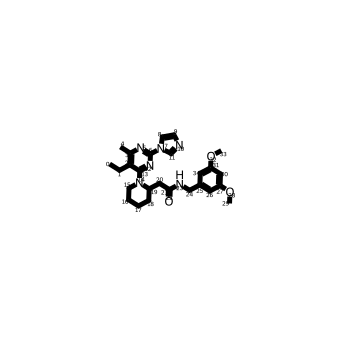 CCc1c(C)nc(-n2ccnc2)nc1N1CCCCC1CC(=O)NCc1cc(OC)cc(OC)c1